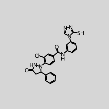 O=C1CC(c2ccccc2)N(c2ccc(C(=O)Nc3cccc(-n4cnnc4S)c3)cc2Cl)N1